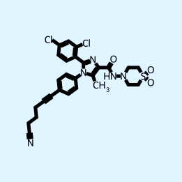 Cc1c(C(=O)NN2CCS(=O)(=O)CC2)nc(-c2ccc(Cl)cc2Cl)n1-c1ccc(C#CCCCC#N)cc1